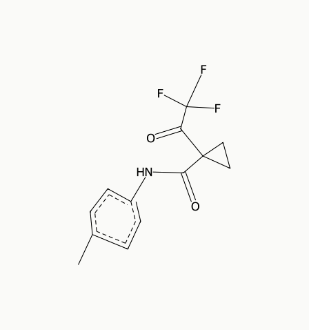 Cc1ccc(NC(=O)C2(C(=O)C(F)(F)F)CC2)cc1